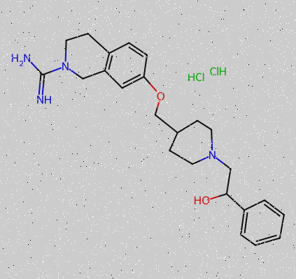 Cl.Cl.N=C(N)N1CCc2ccc(OCC3CCN(CC(O)c4ccccc4)CC3)cc2C1